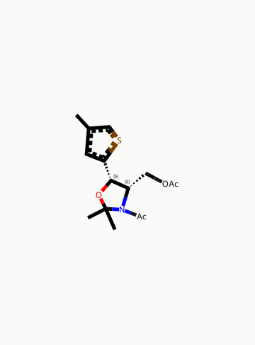 CC(=O)OC[C@H]1[C@@H](c2cc(C)cs2)OC(C)(C)N1C(C)=O